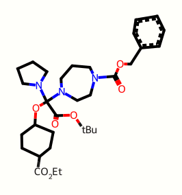 CCOC(=O)C1CCC(OC(C(=O)OC(C)(C)C)(N2CCCC2)N2CCCN(C(=O)OCc3ccccc3)CC2)CC1